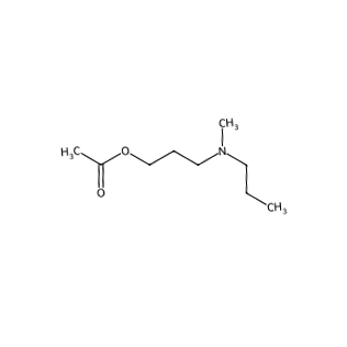 CCCN(C)CCCOC(C)=O